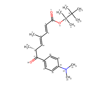 CC(/C=C/C(=O)O[Si](C)(C)C(C)(C)C)=C\[C@@H](C)C(=O)c1ccc(N(C)C)cc1